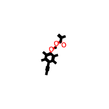 C=C(C)C(=O)OCOc1c(C)c(C)c(C#CC)c(C)c1C